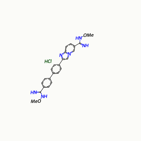 CONC(=N)c1ccc(-c2ccc(-c3cn4cc(C(=N)NOC)ccc4n3)cc2)cc1.Cl